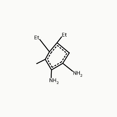 CCc1cc(N)c(N)c(C)c1CC